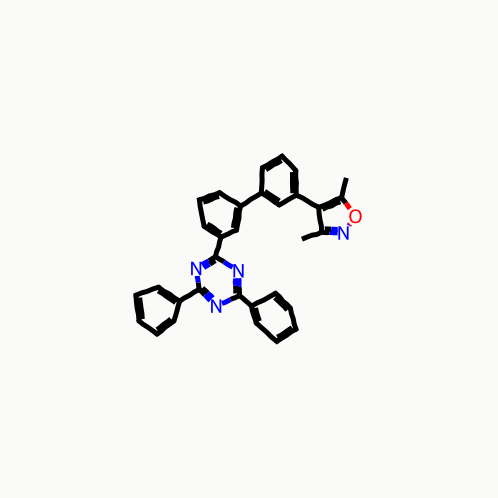 Cc1noc(C)c1-c1cccc(-c2cccc(-c3nc(-c4ccccc4)nc(-c4ccccc4)n3)c2)c1